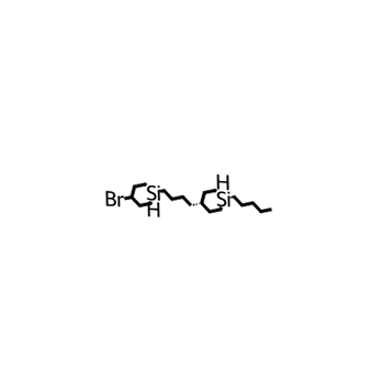 CCCCC[Si@H]1CC[C@H](CCCC[SiH]2CCC(Br)CC2)CC1